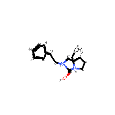 CC12CCCN1C(=O)N(CCc1ccccc1)C2